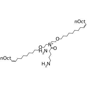 CCCCCCCC/C=C\CCCCCCCCOCC[N+](CCOCCCCCCCC/C=C\CCCCCCCC)C(=O)[C@@H](N)CCCN